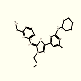 COCn1cc(-c2cc(C)nc(OC3CCCCC3)n2)s/c1=N\c1cccc(CO)n1